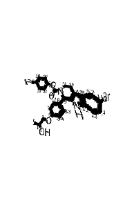 CC(O)COc1ccc(C2c3[nH]c4ccc(Br)cc4c3CCN2C(=O)Oc2ccc(F)cc2)cc1